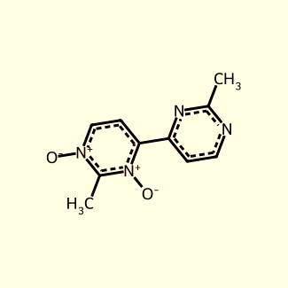 Cc1nccc(-c2cc[n+]([O-])c(C)[n+]2[O-])n1